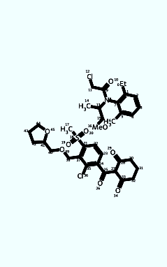 CCc1cccc(C)c1N(C(=O)CCl)C(C)COC.CS(=O)(=O)c1ccc(C(=O)C2C(=O)CCCC2=O)c(Cl)c1COCC1CCCO1